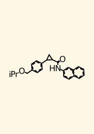 CC(C)OCc1ccc(C2CC2C(=O)Nc2ccc3ccccc3c2)cc1